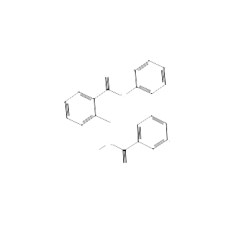 O=C(NO)c1ccccc1.O=C(Nc1ccccc1)c1ccccc1I